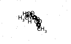 CC(=O)NC(C(=O)O)c1ccc(OS(=O)(=O)c2ccc(C)cc2)cc1